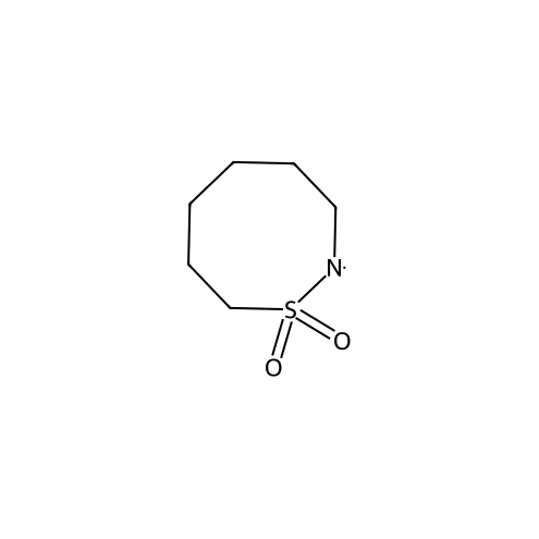 O=S1(=O)CCCCCC[N]1